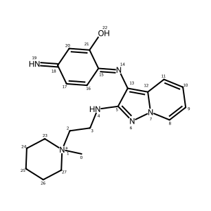 C[N+]1(CCNc2nn3ccccc3c2/N=C2\C=CC(=N)C=C2O)CCCCC1